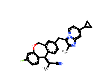 C/C(C#N)=C1/c2ccc(Cc3c(C)nc4cc(C5CC5)ccn34)cc2COc2cc(F)ccc21